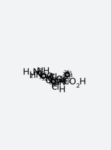 N=C(N)Nc1ccc(C(=O)Oc2cc(Cl)c(CC(=O)N[C@@H](Cc3ccccc3)C(=O)O)cc2Cl)cc1